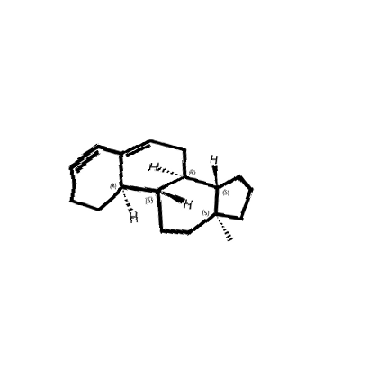 C[C@@]12CCC[C@H]1[C@@H]1CC=C3C=CCC[C@@H]3[C@H]1CC2